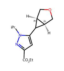 CCOC(=O)c1cc(C2[C@H]3COC[C@@H]23)n(C(C)C)n1